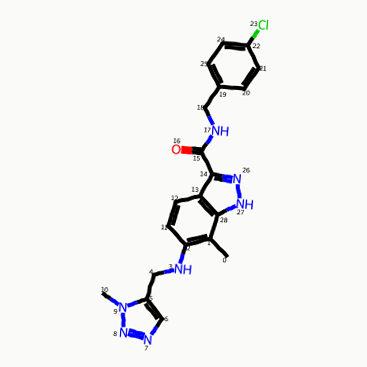 Cc1c(NCc2cnnn2C)ccc2c(C(=O)NCc3ccc(Cl)cc3)n[nH]c12